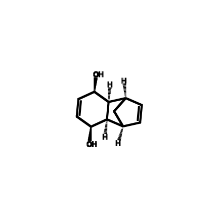 O[C@@H]1C=C[C@H](O)[C@H]2[C@@H]1[C@H]1C=C[C@@H]2C1